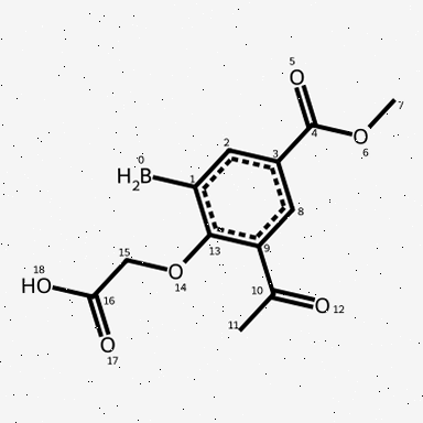 Bc1cc(C(=O)OC)cc(C(C)=O)c1OCC(=O)O